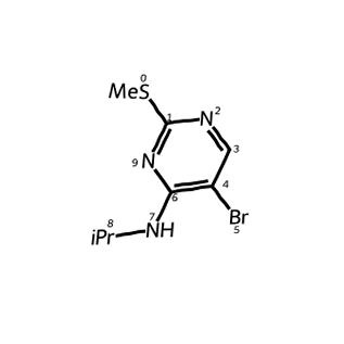 CSc1ncc(Br)c(NC(C)C)n1